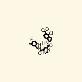 COC(=O)c1ccc2c(c1Cl)CCC2NC(=O)c1cc(C(=O)NCc2ccc(F)c(C)c2)ncn1